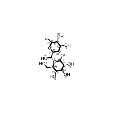 OC[C@H]1O[C@@H](O[C@H]2[C@H](O)[C@@H](O)[C@H](I)O[C@@H]2CO)[C@H](O)[C@@H](O)[C@H]1O